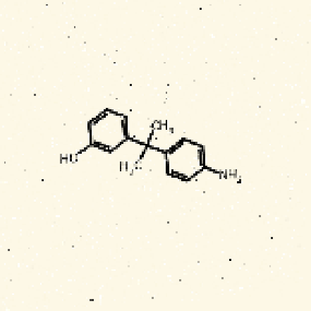 CC(C)(c1ccc(N)cc1)c1cccc(O)c1